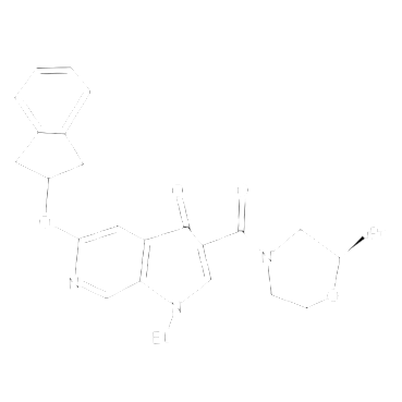 CCn1cc(C(=O)N2CCO[C@H](C(C)C)C2)c(=O)c2cc(OC3Cc4ccccc4C3)ncc21